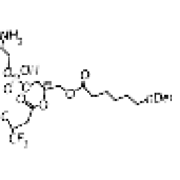 CCCCCCCCCCCCCCCC(=O)OC[C@H](COP(=O)(O)OCCN)OC(=O)CC(C)C(F)(F)F